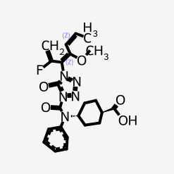 C=C(F)/C(=C(\C=C/C)OC)n1nnn(C(=O)N(c2ccccc2)[C@H]2CC[C@H](C(=O)O)CC2)c1=O